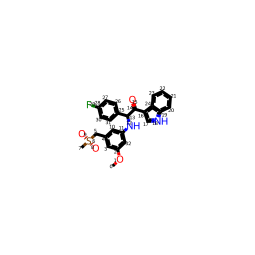 COc1cc(CS(C)(=O)=O)cc(NC(C(=O)c2c[nH]c3ccccc23)c2ccc(F)cc2)c1